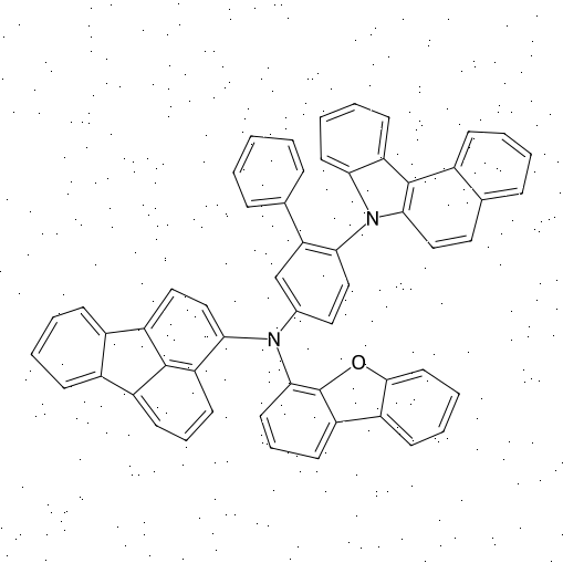 c1ccc(-c2cc(N(c3ccc4c5c(cccc35)-c3ccccc3-4)c3cccc4c3oc3ccccc34)ccc2-n2c3ccccc3c3c4ccccc4ccc32)cc1